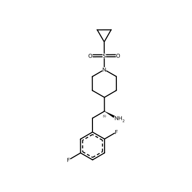 N[C@@H](Cc1cc(F)ccc1F)C1CCN(S(=O)(=O)C2CC2)CC1